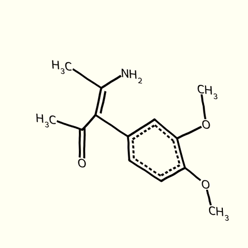 COc1ccc(C(C(C)=O)=C(C)N)cc1OC